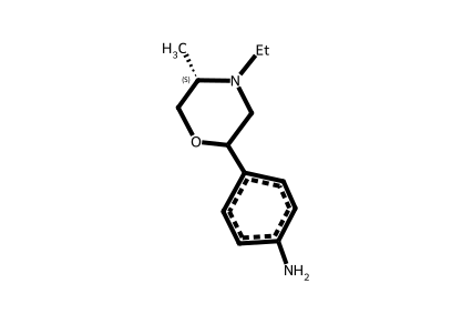 CCN1CC(c2ccc(N)cc2)OC[C@@H]1C